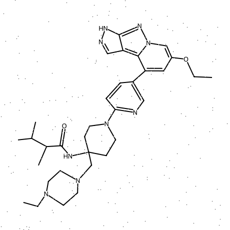 CCOc1cc(-c2ccc(N3CCC(CN4CCN(CC)CC4)(NC(=O)C(C)C(C)C)CC3)nc2)c2c3cn[nH]c3nn2c1